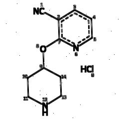 Cl.N#Cc1cccnc1OC1CCNCC1